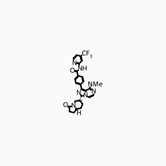 CNc1nccn2c([C@@H]3CC[C@H]4CCC(=O)N4C3)nc(-c3ccc(C(=O)Nc4cc(C(F)(F)F)ccn4)cc3)c12